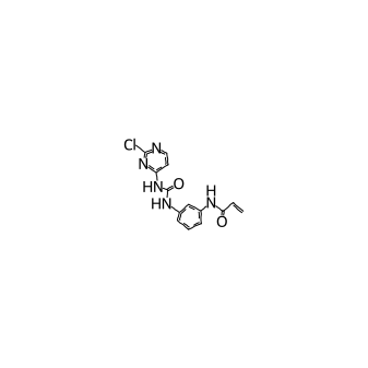 C=CC(=O)Nc1cccc(NC(=O)Nc2ccnc(Cl)n2)c1